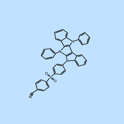 N#Cc1ccc(S(=O)(=O)c2ccc(-n3c4ccccc4c4c5c(c6ccccc6n5-c5ccccc5)n(-c5ccccc5)c43)cc2)cc1